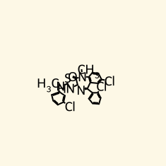 CN(C(=S)NC1N=C(c2ccccc2Cl)c2cc(Cl)ccc2N(C)C1=O)c1cccc(Cl)c1